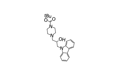 CC(C)(C)OC(=O)N1CCN(CC(O)Cn2c3ccccc3c3ccccc32)CC1